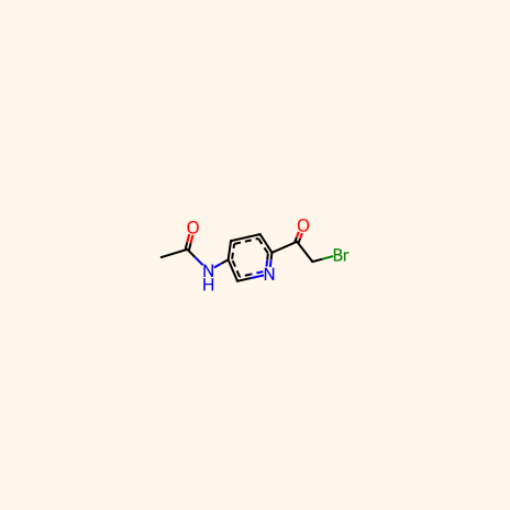 CC(=O)Nc1ccc(C(=O)CBr)nc1